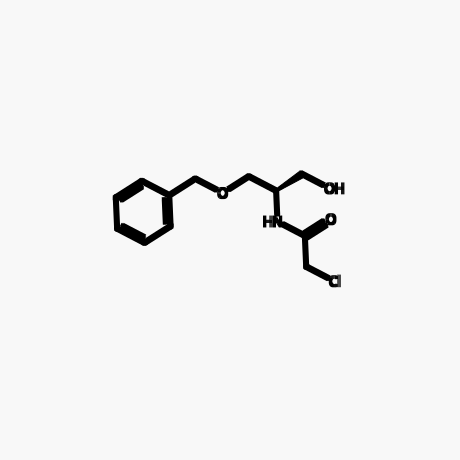 O=C(CCl)N[C@H](CO)COCc1ccccc1